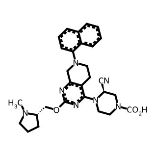 CN1CCC[C@H]1COc1nc2c(c(N3CCN(C(=O)O)C[C@@H]3C#N)n1)CCN(c1cccc3ccccc13)C2